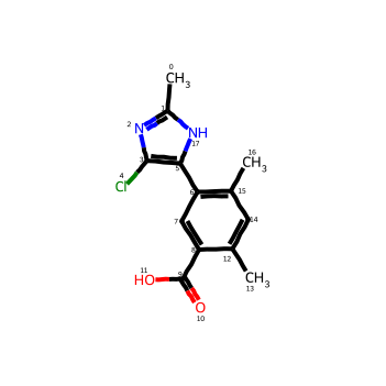 Cc1nc(Cl)c(-c2cc(C(=O)O)c(C)cc2C)[nH]1